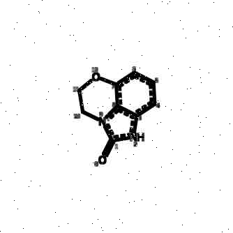 O=c1[nH]c2cccc3c2n1CCO3